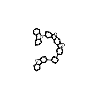 c1cc(-c2ccc3oc4ccccc4c3c2)cc(-c2ccc3oc4cc5oc6ccc(-n7c8ccccc8c8ccccc87)cc6c5cc4c3c2)c1